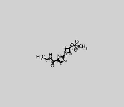 CCNC(=O)c1csc(N2CC(OS(C)(=O)=O)C2)n1